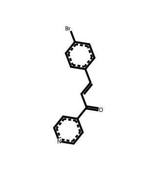 O=C(C=Cc1ccc(Br)cc1)c1ccncc1